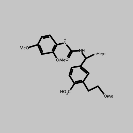 CCCCCCCC(NC(=O)Nc1ccc(OC)cc1OC)c1ccc(C(=O)O)c(CCOC)c1